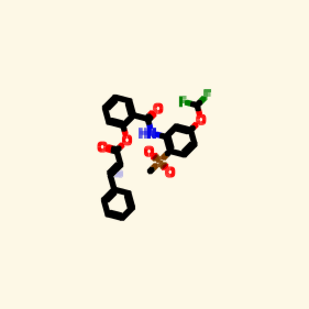 CS(=O)(=O)c1ccc(OC(F)F)cc1NC(=O)c1ccccc1OC(=O)/C=C/c1ccccc1